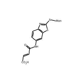 CCCCCCCCCSc1nc2ccc(NC(=O)C=CC(=O)O)cc2s1